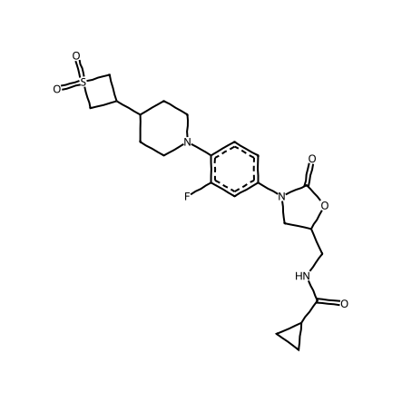 O=C(NCC1CN(c2ccc(N3CCC(C4CS(=O)(=O)C4)CC3)c(F)c2)C(=O)O1)C1CC1